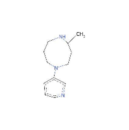 CC1CCN(c2cccnc2)CCCN1